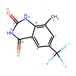 Cc1cc(C(F)(F)F)cc2c(=O)[nH]c(=O)[nH]c12